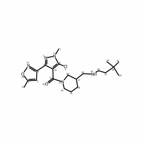 Cc1cc(-c2nn(C)c(Cl)c2C(=O)N2CCCC(CNCCC(C)(C)C)C2)no1